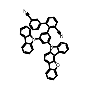 N#Cc1cccc(-c2cccc(C#N)c2-c2cc(-n3c4ccccc4c4ccccc43)cc(-n3c4ccccc4c4c5oc6ccccc6c5ccc43)c2)c1